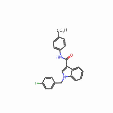 O=C(O)c1ccc(NC(=O)c2cn(Cc3ccc(F)cc3)c3ccccc23)cc1